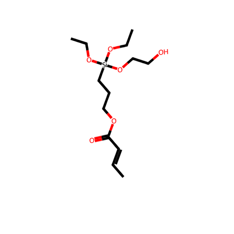 CC=CC(=O)OCCC[Si](OCC)(OCC)OCCO